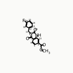 COC(=O)c1ccc2c(=O)n(Cc3cccc(F)c3)c(=O)[nH]c2c1